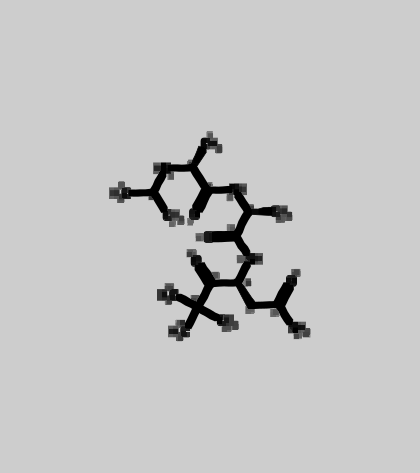 CC(C)N[C@@H](C)C(=O)N[C@@H](C)C(=O)N[C@@H](CC(N)=O)C(=O)C(C)(C)C